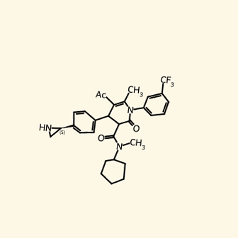 CC(=O)C1=C(C)N(c2cccc(C(F)(F)F)c2)C(=O)C(C(=O)N(C)C2CCCCC2)C1c1ccc([C@H]2CN2)cc1